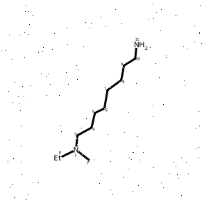 CCN(C)CCCCCCCCN